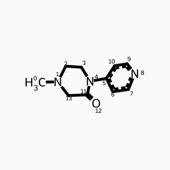 CN1CCN(c2ccncc2)C(=O)C1